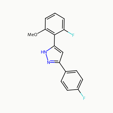 COc1cccc(F)c1-c1cc(-c2ccc(F)cc2)n[nH]1